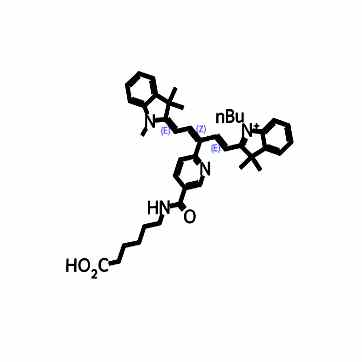 CCCC[N+]1=C(/C=C/C(=C/C=C2/N(C)c3ccccc3C2(C)C)c2ccc(C(=O)NCCCCCC(=O)O)cn2)C(C)(C)c2ccccc21